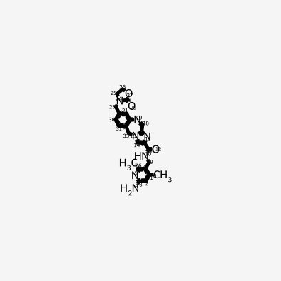 Cc1cc(N)nc(C)c1CNC(=O)c1cn2c(n1)C=Nc1cc(CN3CCOC3=O)ccc1C2